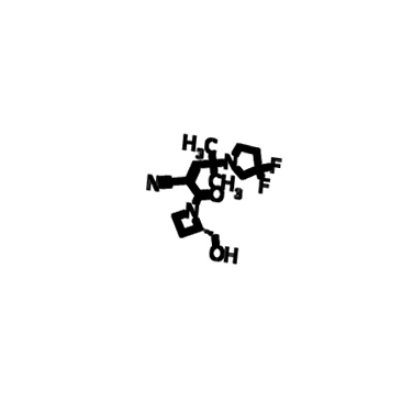 CC(C)(C=C(C#N)C(=O)N1CC[C@H]1CO)N1CCC(F)(F)C1